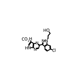 O=C(O)c1c[nH]c2ncc(-c3nn(CCCO)c4cc(Cl)ccc34)nc12